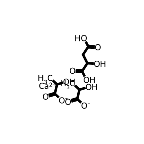 CC(O)C(=O)[O-].CC(O)C(=O)[O-].O=C(O)CC(O)C(=O)O.[Ca+2]